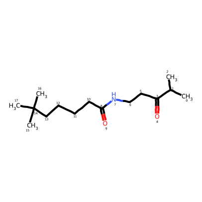 CC(C)C(=O)CCNC(=O)CCCCC(C)(C)C